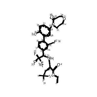 CCOC(=O)C(CC(C)(C)F)NC(c1ccc(-c2cc(N3CCOCC3=O)ccc2O)c(F)c1)C(F)(F)F